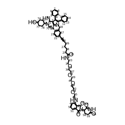 N=c1c2c(-c3ccccc3)c(-c3ccccc3)n(Cc3cccc(C#CCCCCC(=O)NCCOCCOCCOCCOCCNc4cccc5c4C(=O)N(C4CCC(=O)NC4=O)C5=O)c3)c2ncn1C1CCC(O)CC1